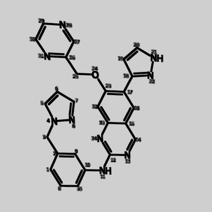 c1cc(Cn2cccn2)cc(Nc2ncc3cc(-c4cc[nH]n4)c(OCc4cnccn4)cc3n2)c1